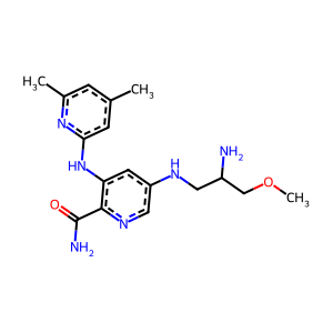 COCC(N)CNc1cnc(C(N)=O)c(Nc2cc(C)cc(C)n2)c1